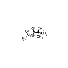 C[S@@+]([O-])NC(=O)C(C)(C)C